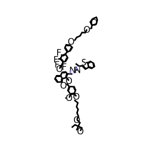 CCC1(COCCCCCCOc2ccc(C(=O)Oc3c(/C=N/N=C(\C)c4cc5ccccc5s4)cc(OC(F)(F)c4ccc(-c5ccc(OCCCCCOCC6CC7CC(C6)O7)cc5)c(F)c4F)c4ccccc34)cc2OC)COC1